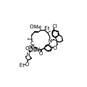 CCOC1CN(C(=O)N[S@@]2(=O)=NC(=O)c3ccc4c(c3)N(C[C@H](C)[C@@H](CC)[C@@H](OC)/C=C/C[C@H](C)C2)C[C@@]2(CCCc3cc(Cl)ccc32)CO4)C1